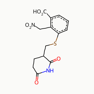 O=C1CCC(CSc2cccc(C(=O)O)c2C[N+](=O)[O-])C(=O)N1